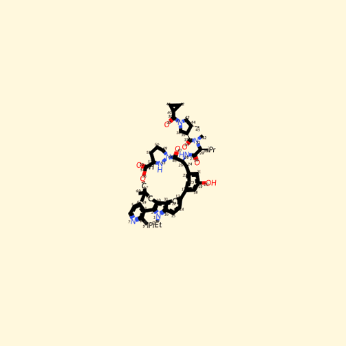 CCn1c(-c2cccnc2C(C)C)c2c3cc(ccc31)-c1cc(O)cc(c1)C[C@H](NC(=O)[C@H](C(C)C)N(C)C(=O)[C@@H]1CN(C(=O)C3CC3)C[C@@H]1C)C(=O)N1CCC[C@H](N1)C(=O)OCC(C)(C)C2